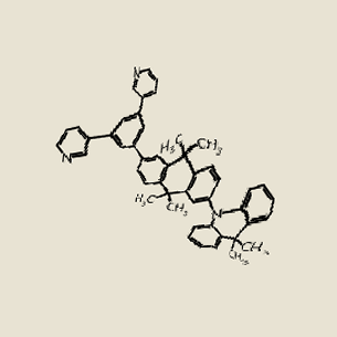 CC1(C)c2ccccc2N(c2ccc3c(c2)C(C)(C)c2ccc(-c4cc(-c5cccnc5)cc(-c5cccnc5)c4)cc2C3(C)C)c2ccccc21